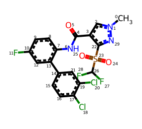 Cn1cc(C(=O)Nc2ccc(F)cc2-c2ccc(Cl)c(Cl)c2)c(S(=O)(=O)C(F)F)n1